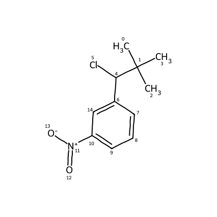 CC(C)(C)C(Cl)c1cccc([N+](=O)[O-])c1